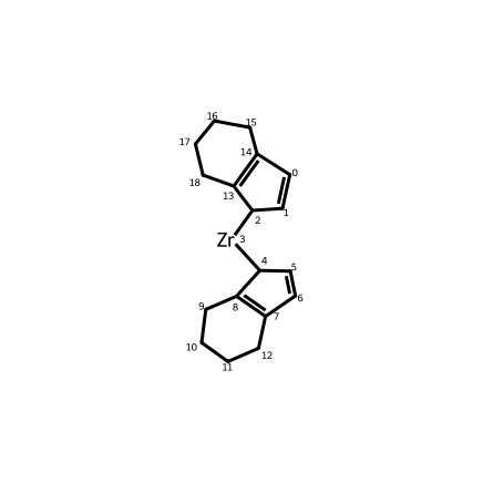 C1=C[CH]([Zr][CH]2C=CC3=C2CCCC3)C2=C1CCCC2